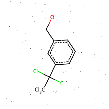 [O]Cc1cccc(C(Cl)(Cl)C(Cl)(Cl)Cl)c1